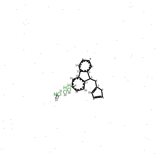 C1=CCC(CC2c3ccccc3-c3ccccc32)=C1.Cl.Cl.Cl.[Zr]